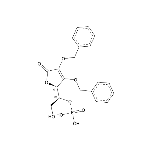 O=C1O[C@H]([C@H](CO)OP(=O)(O)O)C(OCc2ccccc2)=C1OCc1ccccc1